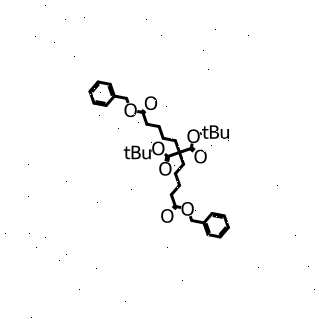 CC(C)(C)OC(=O)C(CCCCC(=O)OCc1ccccc1)(CCCCC(=O)OCc1ccccc1)C(=O)OC(C)(C)C